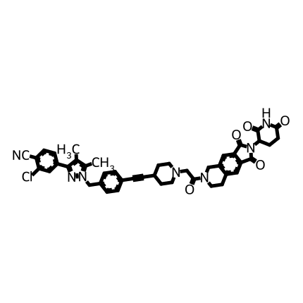 Cc1c(-c2ccc(C#N)c(Cl)c2)nn(Cc2ccc(C#CC3CCN(CC(=O)N4CCc5cc6c(cc5C4)C(=O)N(C4CCC(=O)NC4=O)C6=O)CC3)cc2)c1C